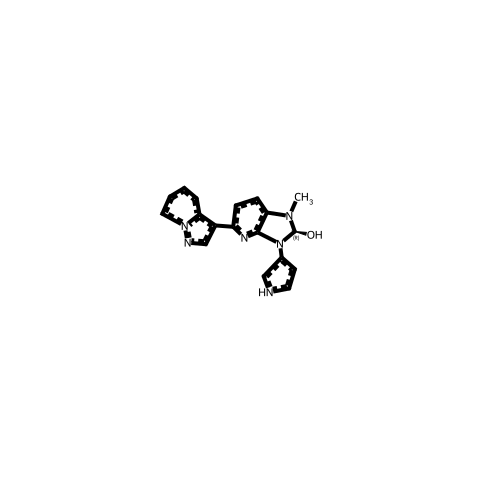 CN1c2ccc(-c3cnn4ccccc34)nc2N(c2cc[nH]c2)[C@@H]1O